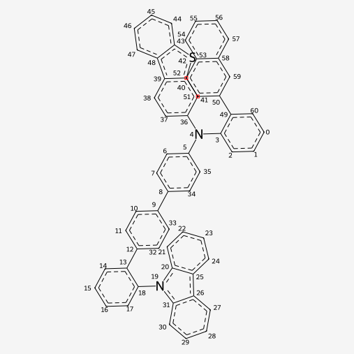 c1ccc(N(c2ccc(-c3ccc(-c4ccccc4-n4c5ccccc5c5ccccc54)cc3)cc2)c2ccc3c(c2)sc2ccccc23)c(-c2ccc3ccccc3c2)c1